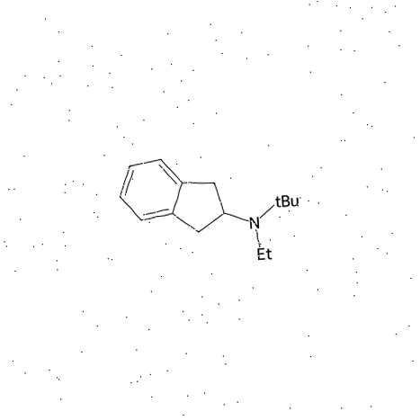 CCN(C1Cc2ccccc2C1)C(C)(C)C